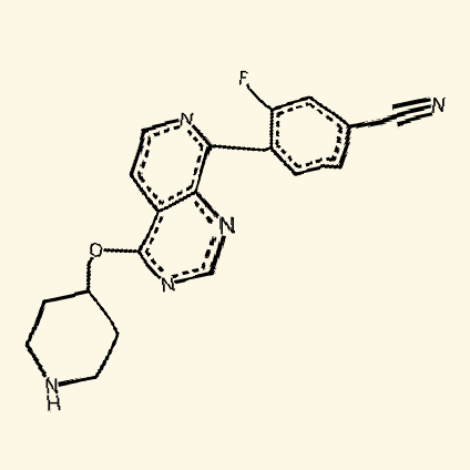 N#Cc1ccc(-c2nccc3c(OC4CCNCC4)ncnc23)c(F)c1